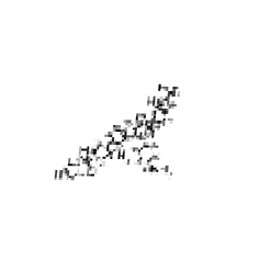 Cc1cc(C(=O)NC2CCNCC2)ccc1-c1ccc(C[C@H](NC(=O)[C@H]2CC[C@H](CN)CC2)C(=O)Nc2ccc3nc(C(F)F)[nH]c3c2)cc1